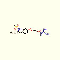 CS(=O)(=O)N[C@@H](Cc1ccc(OCCCONC(=N)N)cc1)C(=O)O